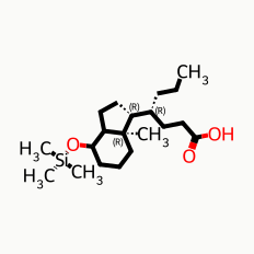 CCC[C@H](CCC(=O)O)[C@H]1CCC2C(O[Si](C)(C)C)CCC[C@@]21C